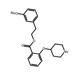 COc1cccc(CCOC(=O)c2ccccc2OC2CCNCC2)c1